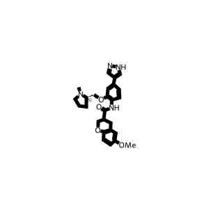 COc1ccc2c(c1)CC(C(=O)Nc1ccc(-c3cn[nH]c3)cc1OC[C@@H]1CCCN1C)CO2